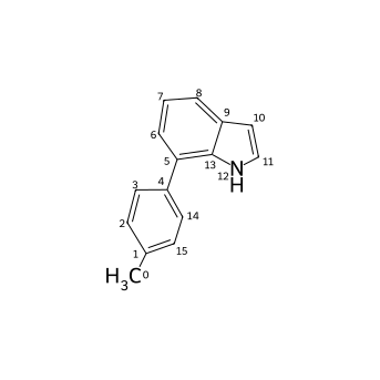 Cc1ccc(-c2cccc3cc[nH]c23)cc1